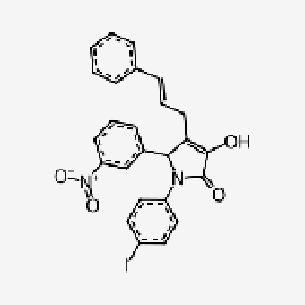 O=C1C(O)=C(CC=Cc2ccccc2)C(c2cccc([N+](=O)[O-])c2)N1c1ccc(I)cc1